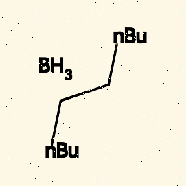 B.CCCCCCCCCC